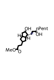 CCCCC[C@H](O)/C=C/[C@@H]1[C@H]2CC(CCC(=O)OC)C[C@H]2C[C@H]1O